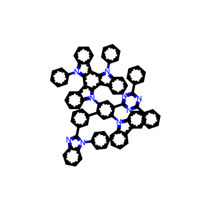 c1ccc(-c2nc(-c3ccccc3)nc(-c3cc(-n4c5ccccc5c5c6c(c7ccccc7n6-c6ccccc6)c6c(c7ccccc7n6-c6ccccc6)c54)c(-c4cccc(-c5nc6ccccc6n5-c5ccccc5)c4)cc3-n3c4ccccc4c4ccccc43)n2)cc1